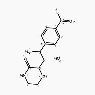 CC(CC1NCCNC1=O)c1ccc([N+](=O)[O-])cc1.Cl